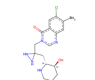 Bc1cc2ncn(CC3(C[C@H]4NCCC[C@@H]4O)NN3)c(=O)c2cc1Cl